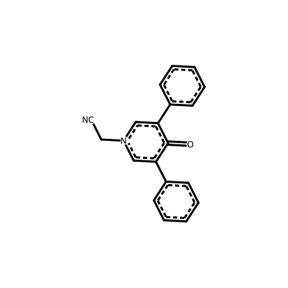 N#CCn1cc(-c2ccccc2)c(=O)c(-c2ccccc2)c1